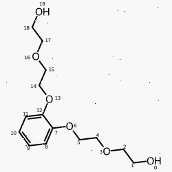 OCCOCCOc1c[c]ccc1OCCOCCO